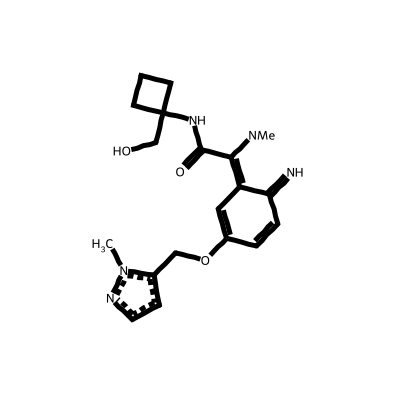 CN/C(C(=O)NC1(CO)CCC1)=C1/C=C(OCc2ccnn2C)C=CC1=N